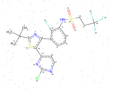 CC(C)(C)c1nc(-c2cccc(NS(=O)(=O)CCC(F)(F)F)c2F)c(-c2ccnc(Cl)n2)s1